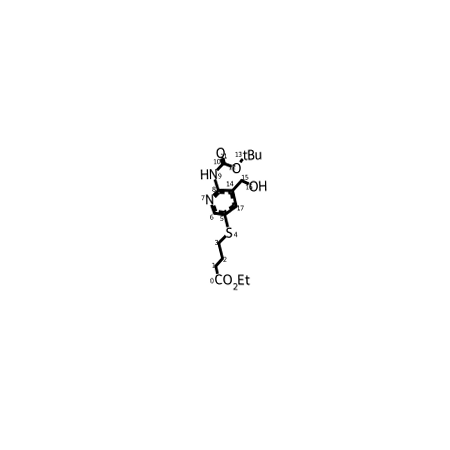 CCOC(=O)CCCSc1cnc(NC(=O)OC(C)(C)C)c(CO)c1